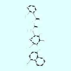 O=C(NC(=O)c1ccccc1F)Nc1cc(Cl)c(Oc2ccc(Cl)c3ccccc23)c(Cl)c1Cl